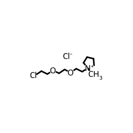 C[N+]1(CCOCCOCCCl)CCCC1.[Cl-]